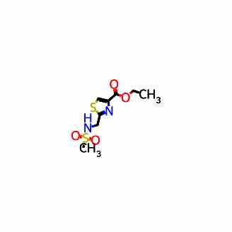 CCOC(=O)c1csc(CNS(C)(=O)=O)n1